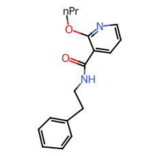 CCCOc1ncccc1C(=O)NCCc1ccccc1